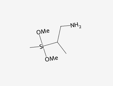 CO[Si](C)(OC)C(C)CN